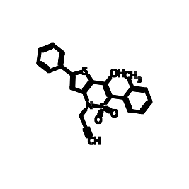 C#CCN1c2cc(-c3ccccc3)sc2C(O)=C(c2ccccc2C)S1(=O)=O